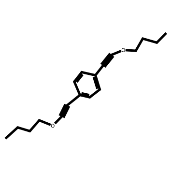 CCCCOC#Cc1ccc(C#COCCCC)cc1